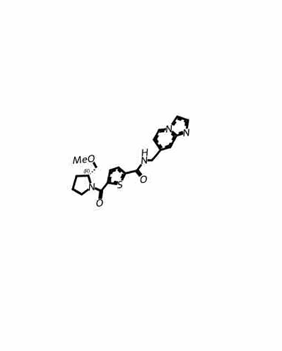 COC[C@H]1CCCN1C(=O)c1ccc(C(=O)NCc2ccn3ccnc3c2)s1